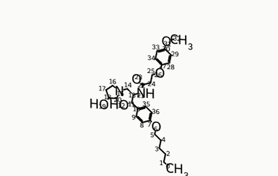 CCCCCCOc1ccc([C@H](O)[C@@H](CN2CC[C@H](O)C2)NC(=O)CCOc2ccc(OC)cc2)cc1